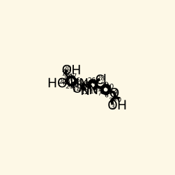 CC(CO)Oc1ccc(-c2nc3nc(O[C@H]4CC[C@H](CO)[C@@H](O)C4)[nH]c3cc2Cl)cc1